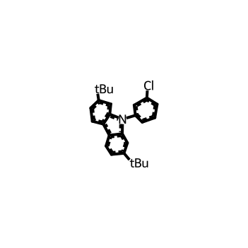 CC(C)(C)c1ccc2c3ccc(C(C)(C)C)cc3n(-c3cccc(Cl)c3)c2c1